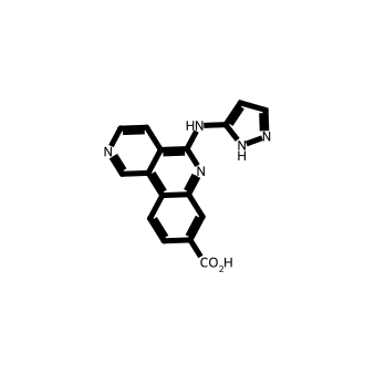 O=C(O)c1ccc2c(c1)nc(Nc1ccn[nH]1)c1ccncc12